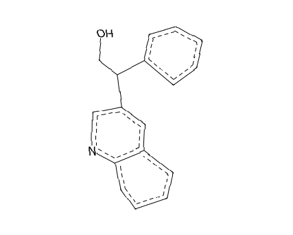 OCC(c1ccccc1)c1cnc2ccccc2c1